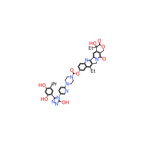 CCc1c2c(nc3ccc(OC(=O)N4CCN(c5ccc(-n6c(O)nnc6-c6cc(C(C)C)c(O)cc6O)cn5)CC4)cc13)-c1cc3c(c(=O)n1C2)COC(=O)[C@]3(O)CC